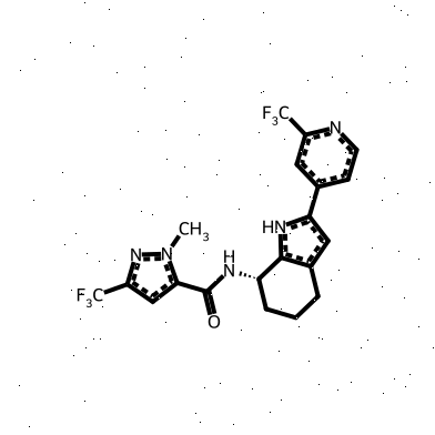 Cn1nc(C(F)(F)F)cc1C(=O)N[C@H]1CCCc2cc(-c3ccnc(C(F)(F)F)c3)[nH]c21